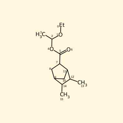 CCOC(C)OC(=O)C1CC2CC1C(C)C2C